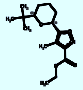 CCOC(=O)c1noc([C@@H]2CCC[C@H](C(C)(C)C)O2)c1C